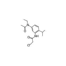 CCN(C(C)=O)c1ccc(C(C)C)c(NC(=O)CCl)c1